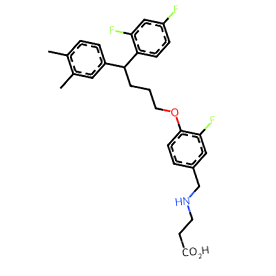 Cc1ccc(C(CCCOc2ccc(CNCCC(=O)O)cc2F)c2ccc(F)cc2F)cc1C